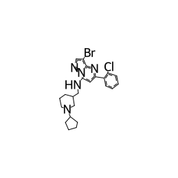 Clc1ccccc1-c1cc(NCC2CCCN(C3CCCC3)C2)n2ncc(Br)c2n1